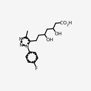 Cc1nnn(-c2ccc(F)cc2)c1CCC(O)CC(O)CC(=O)O